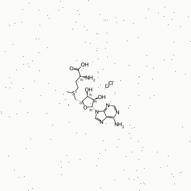 C[S+](CC[C@H](N)C(=O)O)C[C@H]1O[C@@H](n2cnc3c(N)ncnc32)[C@H](O)[C@@H]1O.[Cl-].[Li]